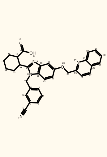 N#Cc1cccc(Cn2c(C3CCCCC3C(=O)O)nc3cc(OCc4ccc5ccccc5n4)ccc32)c1